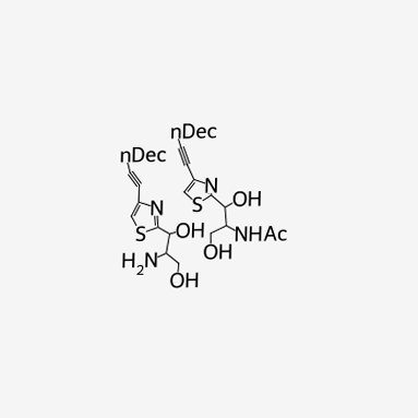 CCCCCCCCCCC#Cc1csc(C(O)C(CO)NC(C)=O)n1.CCCCCCCCCCC#Cc1csc(C(O)C(N)CO)n1